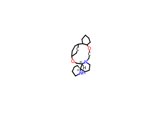 C1CC[C@@]2(CCCN3CCOC4CCCCC4C4CCC(CC4)OC[C@H]32)NC1